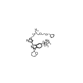 CC(COCCOCc1ccccc1)OCCn1cc(-c2nn(C3CCCCO3)c3ccc(O[Si](C)(C)C(C)(C)C)cc23)cn1